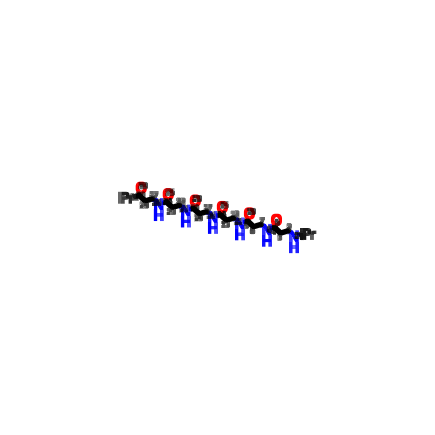 CC(C)NCCC(=O)NCCC(=O)NCCC(=O)NCCC(=O)NCCC(=O)NCCC(=O)C(C)C